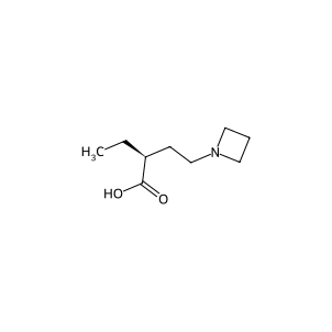 CC[C@@H](CCN1CCC1)C(=O)O